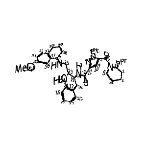 CCCC1CCCCN1C(=O)c1cc(C(=O)N[C@@H](Cc2ccccc2)[C@@H](O)CN[C@@H]2CCCc3ccc(OC)cc32)nn1CC